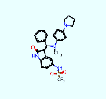 CN(C(=C1C(=O)Nc2ccc(NS(=O)(=O)C(F)(F)F)cc21)c1ccccc1)c1ccc(N2CCCC2)cc1